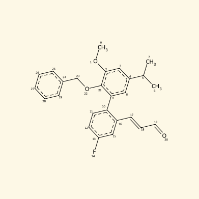 COc1cc(C(C)C)cc(-c2ccc(F)cc2C=CC=O)c1OCc1ccccc1